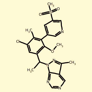 COc1c(C(C)n2nc(C)c3cncnc32)cc(Cl)c(C)c1-c1cncc(S(C)(=O)=O)c1